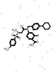 Cc1ccc(S(=O)(=O)N(C)CC(=O)N(Cc2ccc(C3CCCCC3)cc2)c2ccc(C(=O)O)c(F)c2)cc1